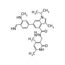 CNc1cc(-c2cc(C(=O)N(N)Cc3c(C)cc(C)[nH]c3=O)c3c(C)cn(C(C)C)c3c2)ccc1C=N